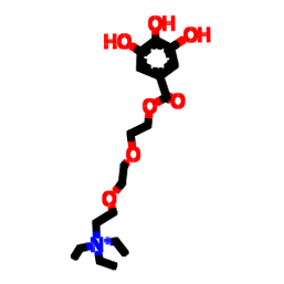 CC[N+](CC)(CC)CCOCCOCCOC(=O)c1cc(O)c(O)c(O)c1